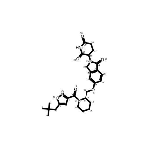 CC(C)(C)Cc1cc(C(=O)N2CCCC[C@@H]2COc2ccc3c(c2)CN(C2CCC(=O)NC2=O)C3=O)no1